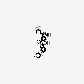 CN1CCC(Oc2ccc3c(c2)CN(C(=O)c2cc4c(CCC(F)(F)F)n[nH]c4cc2O)C3)CC1